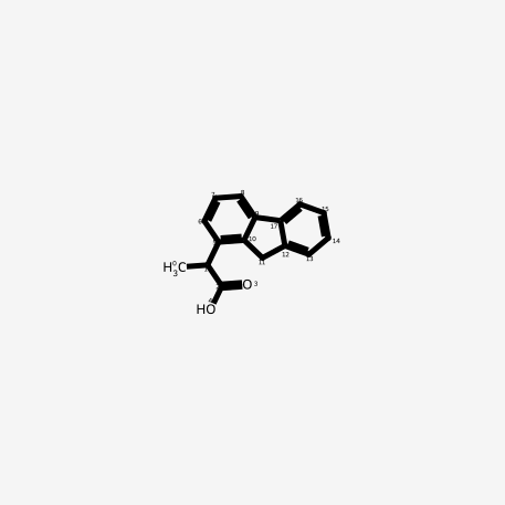 CC(C(=O)O)c1cccc2c1Cc1ccccc1-2